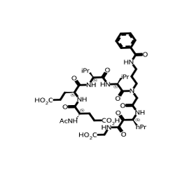 CCC[C@H](NC(=O)CN(CCCNC(=O)c1ccccc1)C(=O)[C@@H](NC(=O)[C@@H](NC(=O)[C@H](CCC(=O)O)NC(=O)[C@H](CCC(=O)O)NC(C)=O)C(C)C)C(C)C)C(=O)C(=O)NCC(=O)O